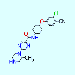 CC1CNCCN1c1cnc(C(=O)NC2CCC(Oc3ccc(C#N)c(Cl)c3)CC2)cn1